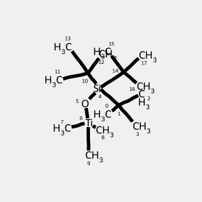 CC(C)(C)[Si]([O][Ti]([CH3])([CH3])[CH3])(C(C)(C)C)C(C)(C)C